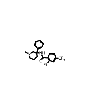 CCc1cc(C(F)(F)F)ccc1C(=O)NC1(c2ccccc2)CCCN(C)C1